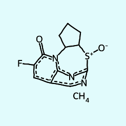 C.O=c1c(F)cc2cnc3nc2n1C1CCCC1[S+]3[O-]